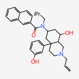 C=CCN1CCC2(c3cccc(O)c3)CC(N(CC(C)C)C(=O)c3ccc4ccccc4c3)CC(O)C2C1